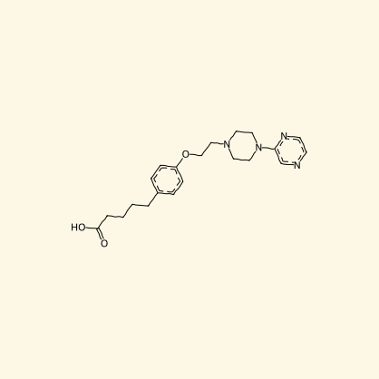 O=C(O)CCCCc1ccc(OCCN2CCN(c3cnccn3)CC2)cc1